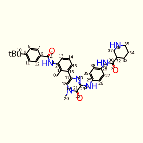 Cc1c(NC(=O)c2ccc(C(C)(C)C)cc2)cccc1-c1cn(C)c(=O)c(Nc2ccc(NC(=O)C3CCCNC3)cc2)n1